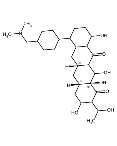 CC(O)C1C(=O)[C@@]2(O)C(O)C3C(=O)C4C(O)CCC(C5CCC(CN(C)C)CC5)C4C[C@H]3C[C@H]2CC1O